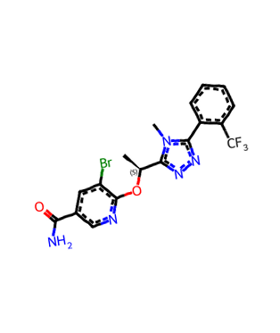 C[C@H](Oc1ncc(C(N)=O)cc1Br)c1nnc(-c2ccccc2C(F)(F)F)n1C